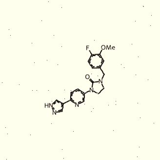 COc1cc(CN2CCN(c3ccc(-c4cn[nH]c4)nc3)C2=O)ccc1F